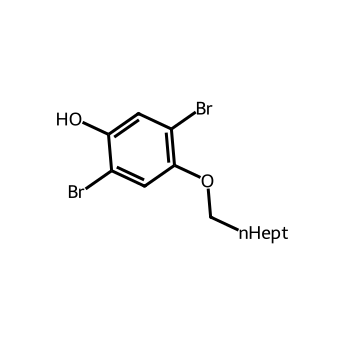 CCCCCCCCOc1cc(Br)c(O)cc1Br